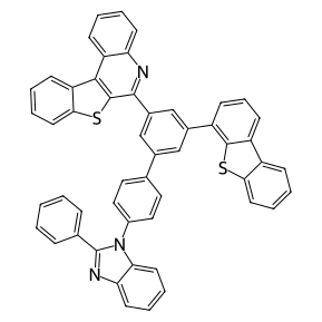 c1ccc(-c2nc3ccccc3n2-c2ccc(-c3cc(-c4cccc5c4sc4ccccc45)cc(-c4nc5ccccc5c5c4sc4ccccc45)c3)cc2)cc1